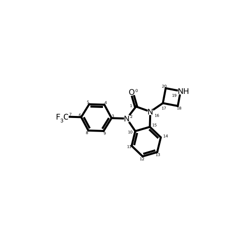 O=c1n(-c2ccc(C(F)(F)F)cc2)c2ccccc2n1C1CNC1